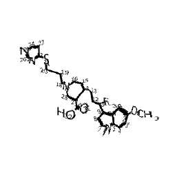 COc1ccc2nccc([C@H](F)CC[C@@H]3CCN(CCCSc4ccncn4)C[C@@H]3C(=O)O)c2c1